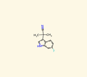 CC(C)(C#N)c1c[nH]c2cc(F)ccc12